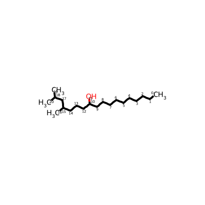 CCCCCCCCCCC(O)CCCC(C)CC(C)C